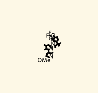 C=C(Nc1cc(C)c(C)c(-c2ccc(OC)nc2C)n1)C1(c2ccc3c(c2)OC(F)(F)O3)CC1